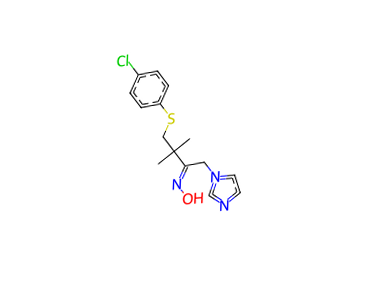 CC(C)(CSc1ccc(Cl)cc1)C(Cn1ccnc1)=NO